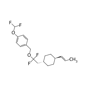 CC=C[C@H]1CC[C@H](CC(F)(F)OCc2ccc(OC(F)F)cc2)CC1